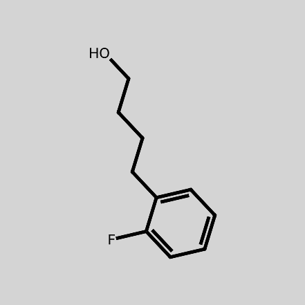 OCCCCc1ccccc1F